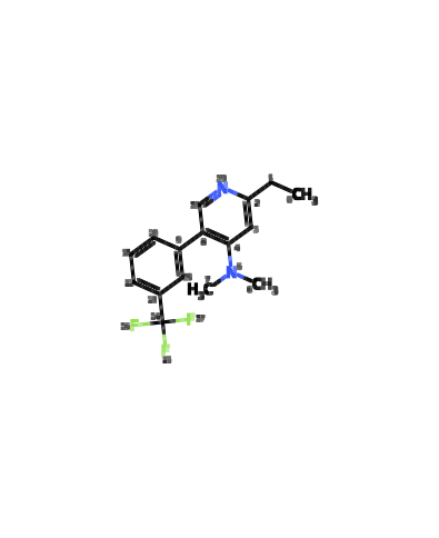 CCc1cc(N(C)C)c(-c2cccc(C(F)(F)F)c2)cn1